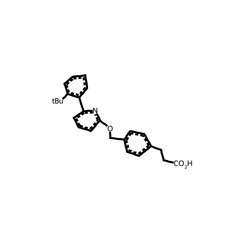 CC(C)(C)c1ccccc1-c1cccc(OCc2ccc(CCC(=O)O)cc2)n1